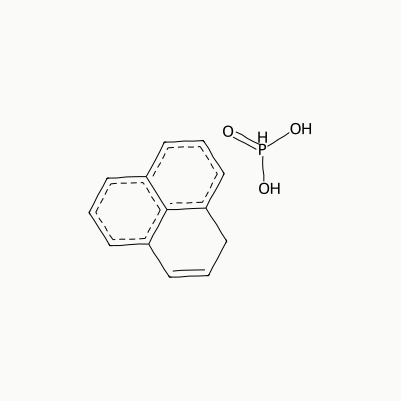 C1=Cc2cccc3cccc(c23)C1.O=[PH](O)O